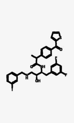 CC(C(=O)N[C@@H](Cc1cc(F)cc(F)c1)[C@@H](O)CNCc1cccc(I)c1)c1ccc(C(=O)c2cccs2)cc1